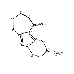 O=C1CCCCc2nn3c(c21)CN(C(=O)O)CC3